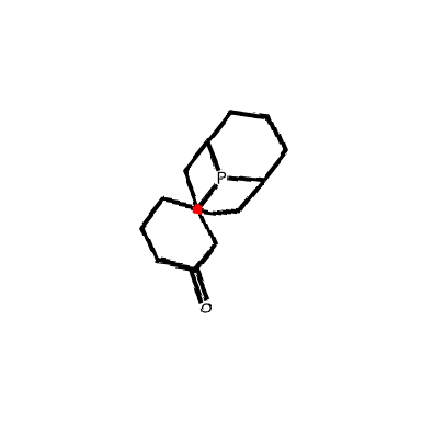 O=C1CCCC(P2C3CCCC2CCC3)C1